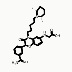 C[C@@H]1CCC[C@H](C)N1CCCCCN1C(=O)C(c2cccc(C(=N)N)c2)Oc2ccc(NCC(=O)O)cc21